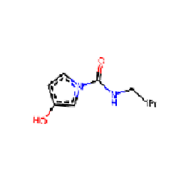 CC(C)CNC(=O)n1ccc(O)c1